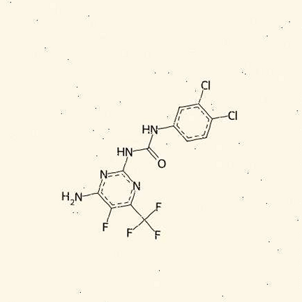 Nc1nc(NC(=O)Nc2ccc(Cl)c(Cl)c2)nc(C(F)(F)F)c1F